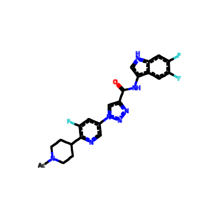 CC(=O)N1CCC(c2ncc(-n3cc(C(=O)Nc4c[nH]c5cc(F)c(F)cc45)nn3)cc2F)CC1